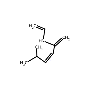 C=CNC(=C)/C=C\C(C)C